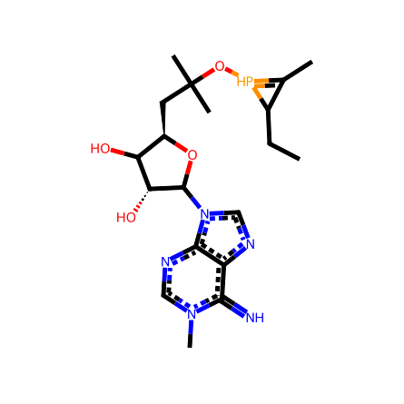 CCC1C(C)=[PH]1OC(C)(C)C[C@H]1OC(n2cnc3c(=N)n(C)cnc32)[C@H](O)C1O